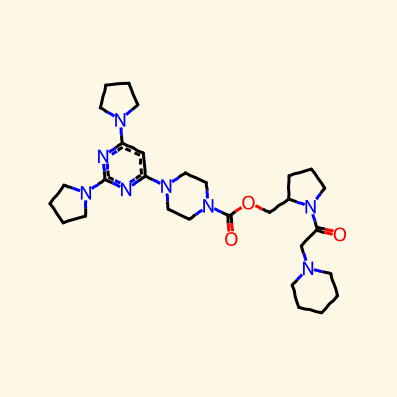 O=C(OCC1CCCN1C(=O)CN1CCCCC1)N1CCN(c2cc(N3CCCC3)nc(N3CCCC3)n2)CC1